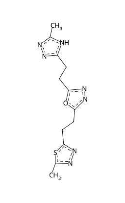 Cc1nnc(CCc2nnc(CCc3nnc(C)s3)o2)[nH]1